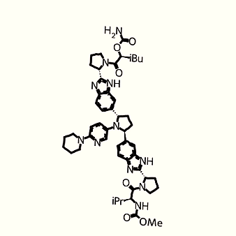 CCC(C)[C@H](OC(N)=O)C(=O)N1CCC[C@H]1c1nc2ccc([C@@H]3CC[C@@H](c4ccc5nc([C@@H]6CCCN6C(=O)[C@@H](NC(=O)OC)C(C)C)[nH]c5c4)N3c3ccc(N4CCCCC4)nc3)cc2[nH]1